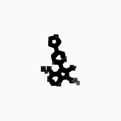 Cn1c(Br)c(-c2ncc(C3CCOC3)cn2)c2c(N)ncnc21